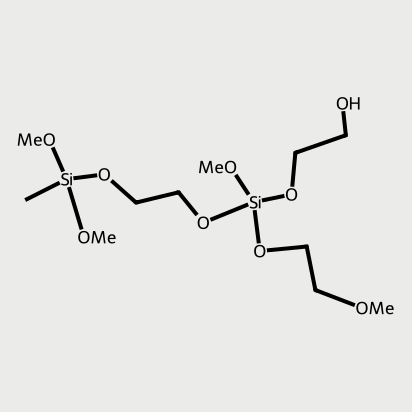 COCCO[Si](OC)(OCCO)OCCO[Si](C)(OC)OC